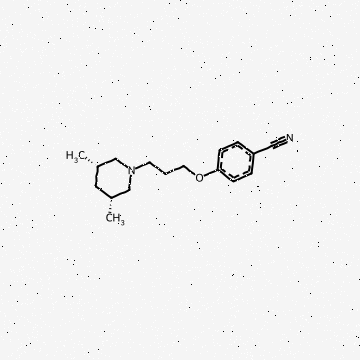 C[C@@H]1C[C@H](C)CN(CCCOc2ccc(C#N)cc2)C1